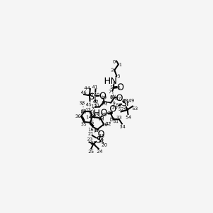 CCCCNC(=O)C[C@@H](C[C@@H](CC[C@@H]1[C@@H]2C(=C[C@H](O[Si](C)(C)C(C)(C)C)C[C@@H]2OC(=O)[C@@H](C)CC)C=C[C@@H]1C)O[Si](C)(C)C(C)(C)C)O[Si](C)(C)C(C)(C)C